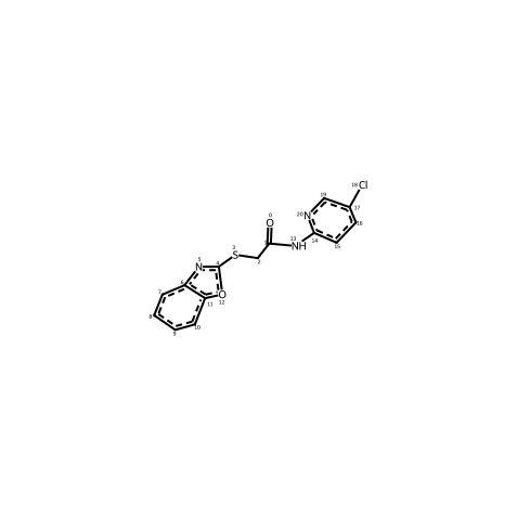 O=C(CSc1nc2ccccc2o1)Nc1ccc(Cl)cn1